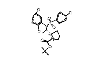 CC([C@@H]1CCCN1C(=O)OC(C)(C)C)N(c1cc(Cl)ccc1Cl)S(=O)(=O)c1ccc(Cl)cc1